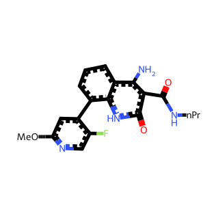 CCCNC(=O)c1c(N)c2cccc(-c3cc(OC)ncc3F)c2[nH]c1=O